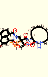 CC(C)C(O)C(CN1C(=O)c2cccc3c2C(C=C(Br)C3)C1=O)([PH2]=O)C(=O)NC1CCCCCCCCCCNC1=O